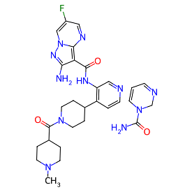 CN1CCC(C(=O)N2CCC(c3ccncc3NC(=O)c3c(N)nn4cc(F)cnc34)CC2)CC1.NC(=O)N1C=CC=NC1